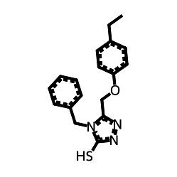 CCc1ccc(OCc2nnc(S)n2Cc2ccccc2)cc1